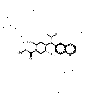 C[C@@H]1CN(C(=O)OC(C)(C)C)[C@@H](C)CN1C(c1ccc2nccnc2c1)C(F)F